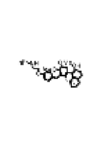 CCCNCCOc1ccc(Cc2c(N)c(-c3c(O)ccc4c3CCCC4)cc(OC)c2OC)cc1